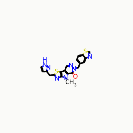 Cn1c2nc(Cc3cc[nH]n3)sc2c2cnn(Cc3ccc4scnc4c3)c(=O)c21